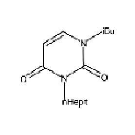 CCCCCCCn1c(=O)ccn(C(C)CC)c1=O